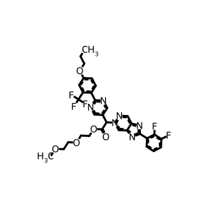 CCCOc1ccc(-c2ncc(C(C(=O)OCCOCCOC)n3cc4nc(-c5cccc(F)c5F)nc-4cn3)cn2)c(C(F)(F)F)c1